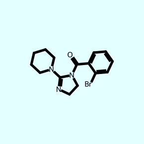 O=C(c1ccccc1Br)N1CCN=C1N1CCCCC1